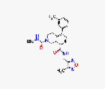 Cc1nonc1CNC(=O)C1C=CC(c2cccc(C(F)(F)F)c2)=C2CCN(C(=O)NC(C)(C)C)CC21